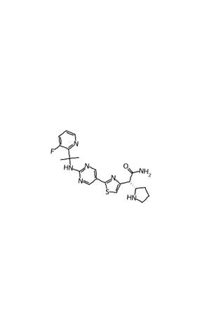 CC(C)(Nc1ncc(-c2nc(C(C(N)=O)[C@@H]3CCCN3)cs2)cn1)c1ncccc1F